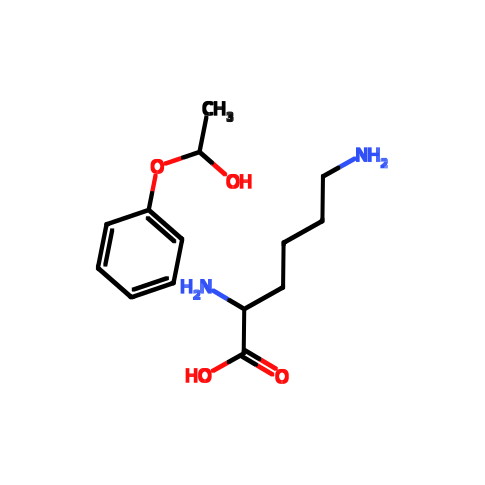 CC(O)Oc1ccccc1.NCCCCC(N)C(=O)O